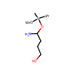 CCC[Si](C)(OC)OC(N)CCCO